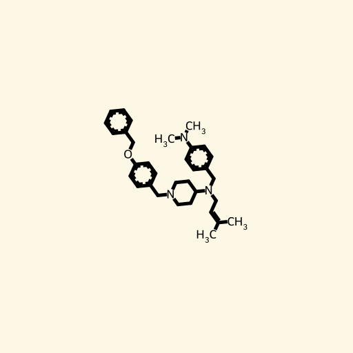 CC(C)=CCN(Cc1ccc(N(C)C)cc1)C1CCN(Cc2ccc(OCc3ccccc3)cc2)CC1